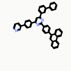 c1ccc(-c2cccc(-c3cc(-c4ccc(-c5cccnc5)cc4)nc(-c4ccc(-c5cc6ccccc6c6ccccc56)cc4)n3)c2)cc1